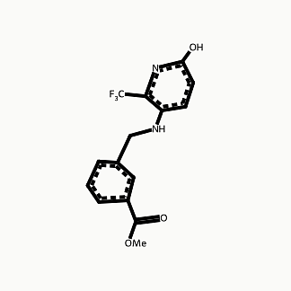 COC(=O)c1cccc(CNc2ccc(O)nc2C(F)(F)F)c1